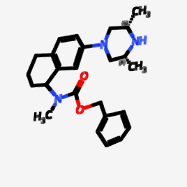 C[C@@H]1CN(c2ccc3c(c2)C(N(C)C(=O)OCc2ccccc2)CCC3)C[C@H](C)N1